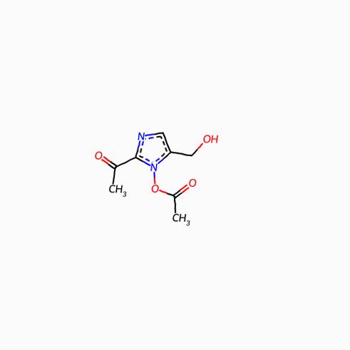 CC(=O)On1c(CO)cnc1C(C)=O